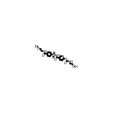 CCOCCNC(=O)Oc1ccc(C(=O)NS(=O)(=O)c2ccc(C(=O)NCCOCC)cc2)cn1